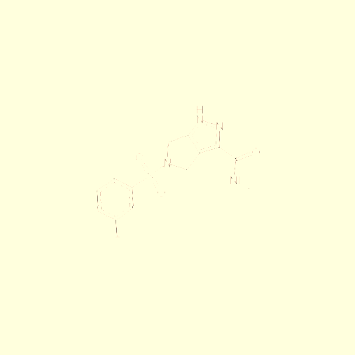 NC(=O)c1n[nH]c2c1CN(S(=O)(=O)c1cccc(F)c1)C2